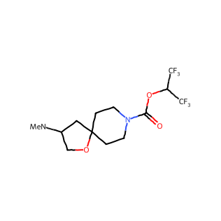 CNC1COC2(CCN(C(=O)OC(C(F)(F)F)C(F)(F)F)CC2)C1